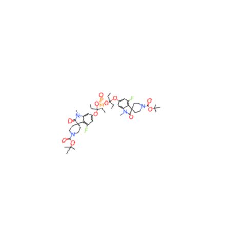 CCC(CC)(Oc1cc(F)c2c(c1)N(C)C(=O)C21CCN(C(=O)OC(C)(C)C)CC1)O[PH](=O)OC(CC)(CC)Oc1cc(F)c2c(c1)N(C)C(=O)C21CCN(C(=O)OC(C)(C)C)CC1